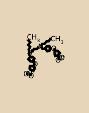 CCCCCCN(CCCCN(CCCCCC)Cc1ccc(Oc2ccc([N+](=O)[O-])cc2)cc1)Cc1ccc(Oc2ccc([N+](=O)[O-])cc2)cc1